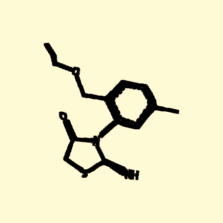 CCOCc1ccc(C)cc1N1C(=N)SCC1=O